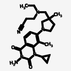 CCN(CCC#N)CC1(C)CCN(c2ccc3c(=O)n(N)c(=O)n(C4CC4)c3c2C)C1